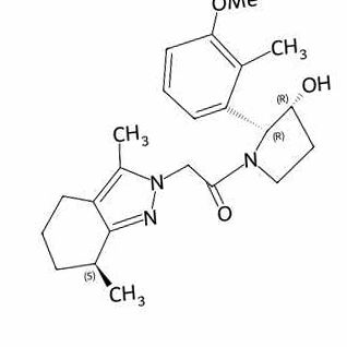 COc1cccc([C@@H]2[C@H](O)CCN2C(=O)Cn2nc3c(c2C)CCC[C@@H]3C)c1C